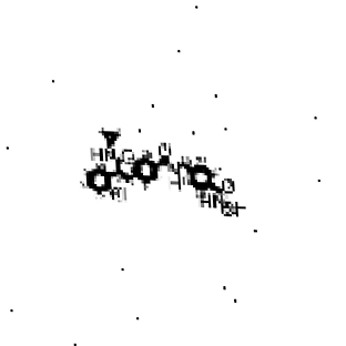 O=C(NC1CC1)C(=Cc1ccc(C(=O)NCc2ccc(C(=O)NO)cc2)cc1)c1ccccc1Cl